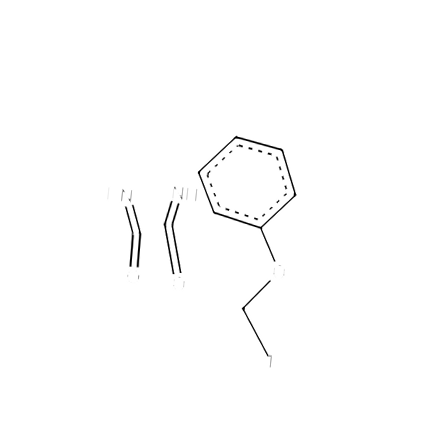 ICOc1ccccc1.N=C=O.N=C=O